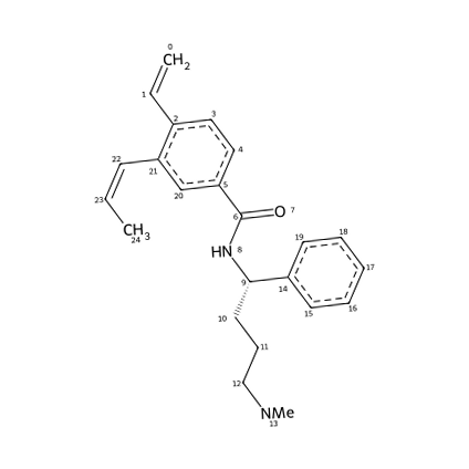 C=Cc1ccc(C(=O)N[C@@H](CCCNC)c2ccccc2)cc1/C=C\C